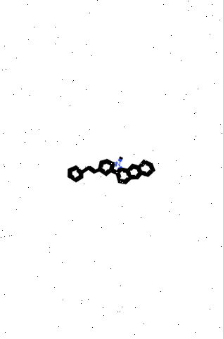 Cn1c2ccc(/C=C/c3ccccc3)cc2c2ccc3cc4ccccc4cc3c21